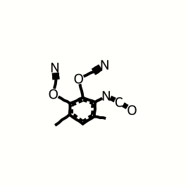 Cc1cc(C)c(OC#N)c(OC#N)c1N=C=O